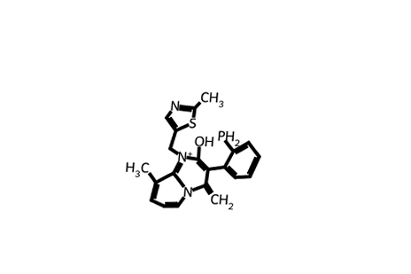 C=C1C(c2ccccc2P)=C(O)[N+](Cc2cnc(C)s2)=C2C(C)=CC=CN12